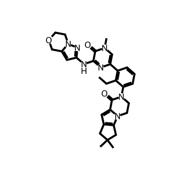 CCc1c(-c2cn(C)c(=O)c(Nc3cc4n(n3)CCOC4)n2)cccc1N1CCn2c(cc3c2CC(C)(C)C3)C1=O